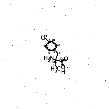 CC[C@](N)(Cc1ccc(Cl)cc1)C(=O)O